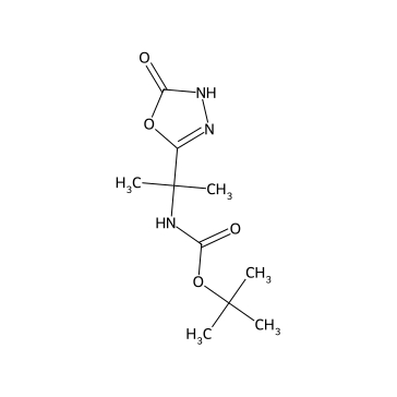 CC(C)(C)OC(=O)NC(C)(C)c1n[nH]c(=O)o1